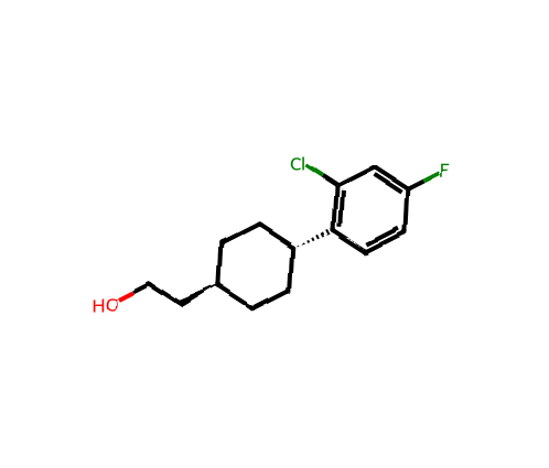 OCC[C@H]1CC[C@H](c2ccc(F)cc2Cl)CC1